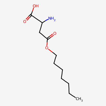 CCCCCCCOC(=O)CC(N)C(=O)O